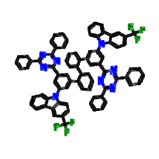 FC(F)(F)c1ccc2c(c1)c1ccccc1n2-c1cc(-c2nc(-c3ccccc3)nc(-c3ccccc3)n2)cc(-c2ccccc2-c2ccccc2-c2cc(-c3nc(-c4ccccc4)nc(-c4ccccc4)n3)cc(-n3c4ccccc4c4cc(C(F)(F)F)ccc43)c2)c1